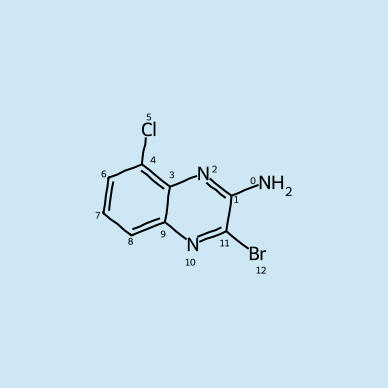 Nc1nc2c(Cl)cccc2nc1Br